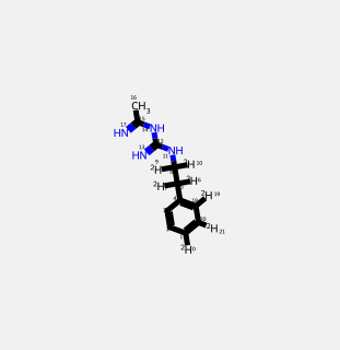 [2H]c1ccc(C([2H])([2H])C([2H])([2H])NC(=N)NC(C)=N)c([2H])c1[2H]